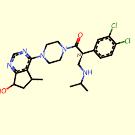 CC(C)NC[C@@H](C(=O)N1CCN(c2ncnc3c2C(C)CC3O)CC1)c1ccc(Cl)c(Cl)c1